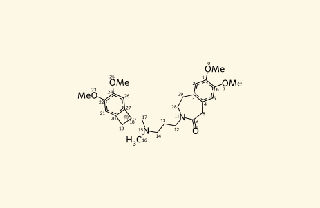 COc1cc2c(cc1OC)CC(=O)N(CCCN(C)C[C@@H]1Cc3cc(OC)c(OC)cc31)CC2